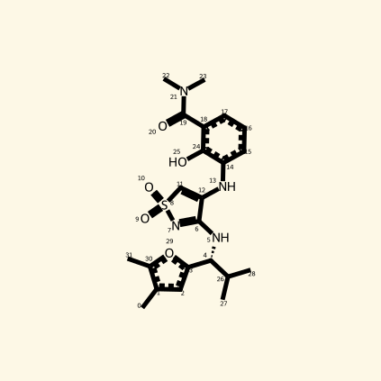 Cc1cc([C@H](NC2=NS(=O)(=O)C=C2Nc2cccc(C(=O)N(C)C)c2O)C(C)C)oc1C